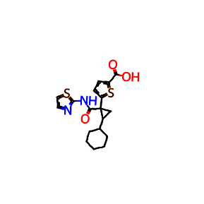 O=C(O)c1ccc(C2(C(=O)Nc3nccs3)CC2C2CCCCC2)s1